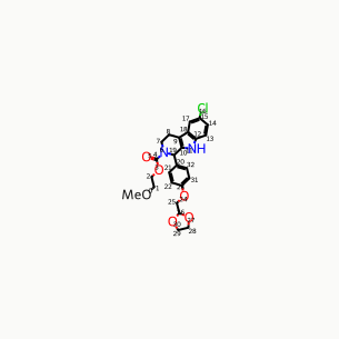 COCCOC(=O)N1CCc2c([nH]c3ccc(Cl)cc23)C1c1ccc(OCC2OCCO2)cc1